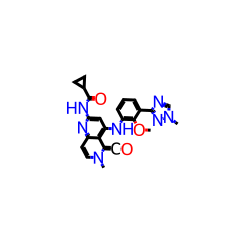 COc1c(Nc2cc(NC(=O)C3CC3)nc3c2C(=C=O)N(C)C=C3)cccc1-c1ncn(C)n1